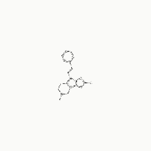 CN1CCc2c(c3cc(Cl)sc3n2/C=C/c2ccccc2)C1